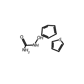 NC(=O)NO.c1ccccc1.c1ccsc1